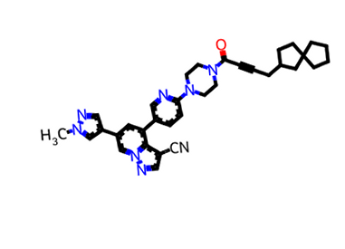 Cn1cc(-c2cc(-c3ccc(N4CCN(C(=O)C#CCC5CCC6(CCCC6)C5)CC4)nc3)c3c(C#N)cnn3c2)cn1